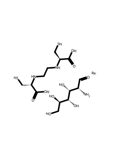 N[C@@H](C=O)[C@@H](O)[C@H](O)[C@H](O)CO.O=C(O)[C@H](CS)NCCN[C@@H](CS)C(=O)O.[Re]